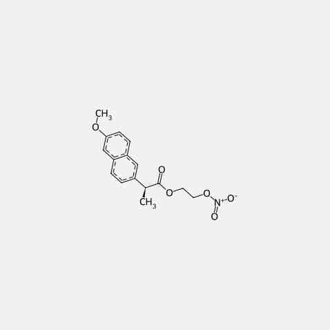 COc1ccc2cc([C@H](C)C(=O)OCCO[N+](=O)[O-])ccc2c1